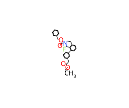 CCOC(=O)Cc1ccc(F)c(-c2cccc3c2CN(C(=O)OCc2ccccc2)CC3)c1